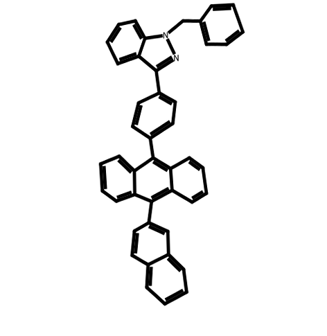 c1ccc(Cn2nc(-c3ccc(-c4c5ccccc5c(-c5ccc6ccccc6c5)c5ccccc45)cc3)c3ccccc32)cc1